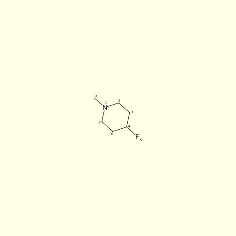 CN1CCC(F)CC1